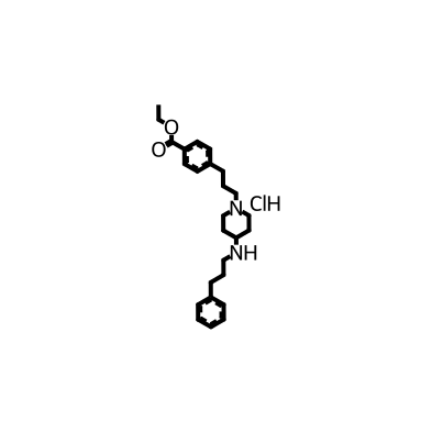 CCOC(=O)c1ccc(CCCN2CCC(NCCCc3ccccc3)CC2)cc1.Cl